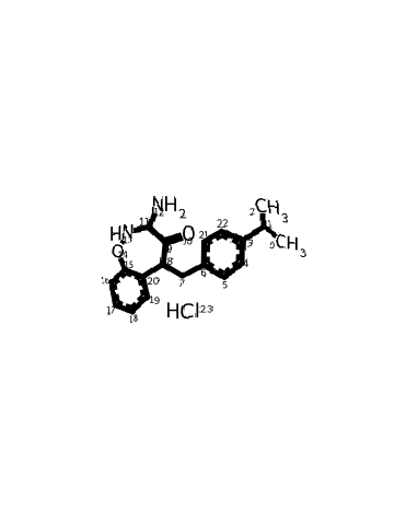 CC(C)c1ccc(CC2C(=O)C(N)NOc3ccccc32)cc1.Cl